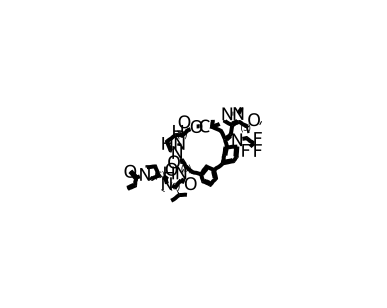 C=CC(=O)N1CC[C@H](C(=O)N(C)[C@H](C(=O)N[C@H]2Cc3cccc(c3)-c3ccc4c(c3)c(c(-c3cnn(C)c3[C@H](C)OC)n4CC(F)(F)F)CC(C)(C)COC(=O)[C@@H]3CCCN(N3)C2=O)C(C)C)C1